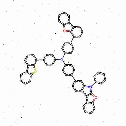 c1ccc(-n2c3cc(-c4ccc(N(c5ccc(-c6cccc7c6oc6ccccc67)cc5)c5ccc(-c6cccc7c6sc6ccccc67)cc5)cc4)ccc3c3c4ccccc4oc32)cc1